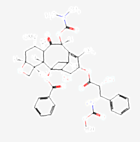 CO[C@H]1C[C@H]2OC[C@@]2(OC(C)=O)[C@@H]2[C@]1(C)C(=O)[C@H](OC(=O)N(C)C)C1=C(C)[C@@H](OC(=O)[C@H](O)[C@@H](NC(=O)OC(C)(C)C)c3ccccc3)C[C@]3(O)[C@@]1(C)C[C@@]23OC(=O)c1ccccc1